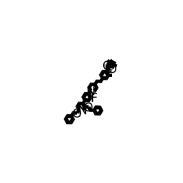 Cc1cc(CCC2CCN(c3ccc(-c4ccc(OCc5ccccc5)nc4OCc4ccccc4)cc3F)CC2)ccc1B1OC(C)(C)C(C)(C)O1